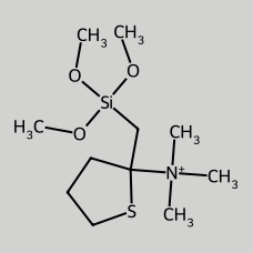 CO[Si](CC1([N+](C)(C)C)CCCS1)(OC)OC